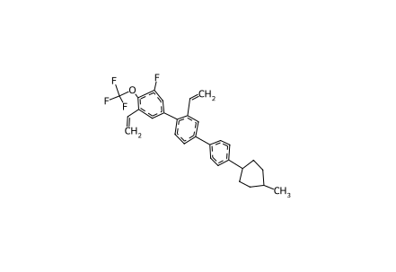 C=Cc1cc(-c2ccc(C3CCC(C)CC3)cc2)ccc1-c1cc(F)c(OC(F)(F)F)c(C=C)c1